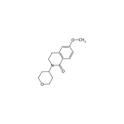 COc1ccc2c(c1)CCN(C1CCOCC1)C2=O